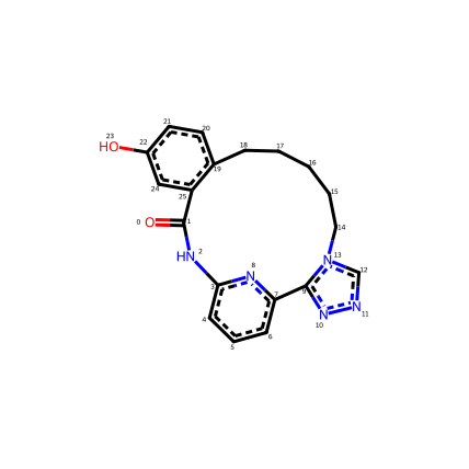 O=C1Nc2cccc(n2)-c2nncn2CCCCCc2ccc(O)cc21